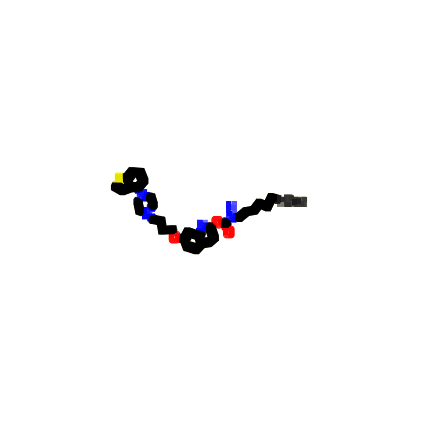 CCCCCCCCCCCCCCCCNC(=O)Oc1ccc2ccc(OCCCCN3CCN(c4cccc5sccc45)CC3)cc2n1